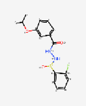 CC(C)Oc1cccc(C(=O)NN[S+]([O-])c2ccccc2F)c1